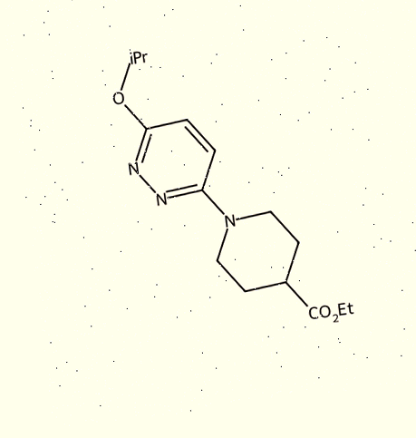 CCOC(=O)C1CCN(c2ccc(OC(C)C)nn2)CC1